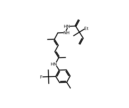 C=CC(C)(CC)C(=C)NNC/C(C)=C/C=C(\C)Nc1ccc(C)cc1C(C)(C)F